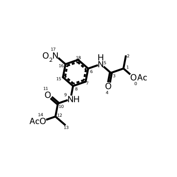 CC(=O)OC(C)C(=O)Nc1cc(NC(=O)C(C)OC(C)=O)cc([N+](=O)[O-])c1